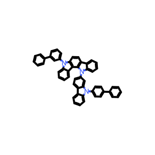 c1ccc(-c2ccc(-n3c4ccccc4c4ccc(-n5c6ccccc6c6ccc7c(c8ccccc8n7-c7cccc(-c8ccccc8)c7)c65)cc43)cc2)cc1